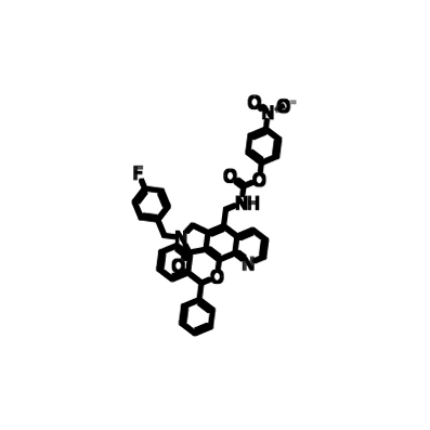 O=C(NCc1c2c(c(OC(c3ccccc3)c3ccccc3)c3ncccc13)C(=O)N(Cc1ccc(F)cc1)C2)Oc1ccc([N+](=O)[O-])cc1